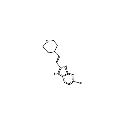 Brc1ccc2[nH]c(C=CC3CCOCC3)nc2c1